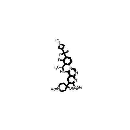 COc1nc2ncnc(N[C@H](C)c3cccc(C(F)(F)C4CN(C(C)C)C4)c3F)c2cc1C1(OC)CCN(C(C)=O)CC1